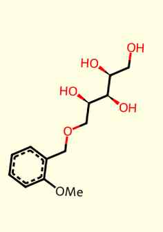 COc1ccccc1COC[C@@H](O)[C@H](O)[C@@H](O)CO